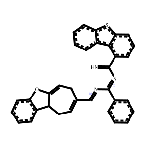 N=C(/N=C(\N=C\C1=CCC2C(=CC1)Oc1ccccc12)c1ccccc1)c1cccc2sc3ccccc3c12